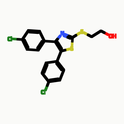 OCCSc1nc(-c2ccc(Cl)cc2)c(-c2ccc(Cl)cc2)s1